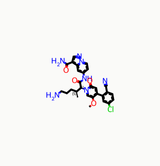 COc1cn([C@H](C(=O)Nc2ccn3ncc(C(N)=O)c3c2)[C@@H](C)CCCN)c(=O)cc1-c1cc(Cl)ccc1C#N